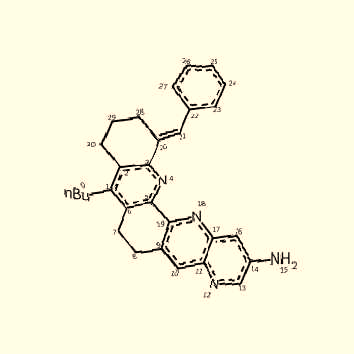 CCCCc1c2c(nc3c1CCc1cc4ncc(N)cc4nc1-3)C(=Cc1ccccc1)CCC2